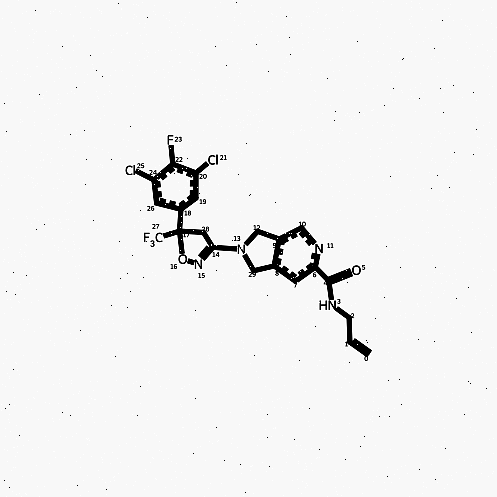 C=CCNC(=O)c1cc2c(cn1)CN(C1=NOC(c3cc(Cl)c(F)c(Cl)c3)(C(F)(F)F)C1)C2